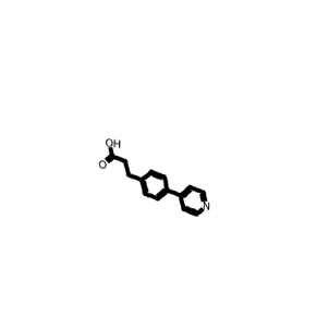 O=C(O)CCc1ccc(-c2ccncc2)cc1